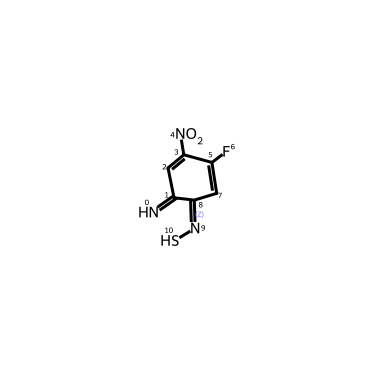 N=C1C=C([N+](=O)[O-])C(F)=C/C1=N/S